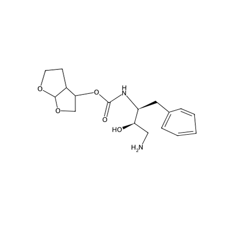 NC[C@@H](O)[C@H](Cc1ccccc1)NC(=O)OC1COC2OCCC12